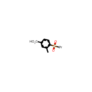 Cc1cc(C(=O)O)ccc1S(=O)(=O)C(C)C